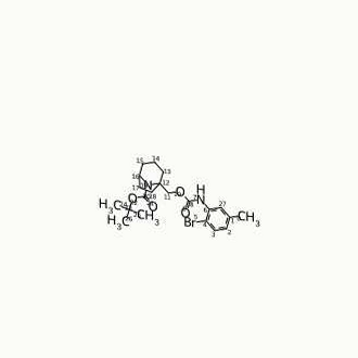 Cc1ccc(Br)c(NC(=O)OCC23CCCC(CC2)N3C(=O)OC(C)(C)C)c1